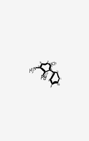 Cl.Nc1cccc(-c2ccccc2)[c]1[Pd]